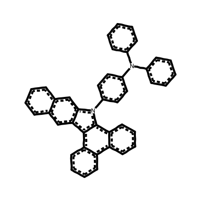 c1ccc(N(c2ccccc2)c2ccc(-n3c4cc5ccccc5cc4c4c5ccccc5c5ccccc5c43)cc2)cc1